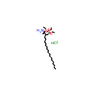 CCCCCCCCCCCCCCCCCCC(C[Si](OCC)(OCC)OCC)C(C)(C)N.Cl